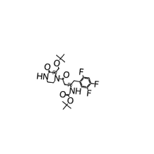 CC(C)(C)OC[C@@H]1C(=O)NCCN1C(=O)C[C@@H](Cc1cc(F)c(F)cc1F)NC(=O)OC(C)(C)C